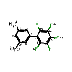 Cc1cc(-c2c(F)c(F)c(F)c(F)c2F)cc(C(C)C)c1